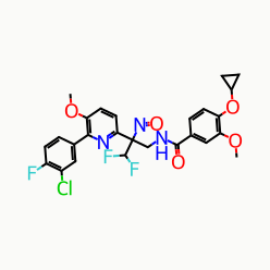 COc1cc(C(=O)NCC(N=O)(c2ccc(OC)c(-c3ccc(F)c(Cl)c3)n2)C(F)F)ccc1OC1CC1